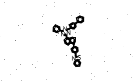 c1ccc(-c2ccc(-c3nc(-c4ccccc4)nc(-c4cccc5c(-c6ccc(-c7nc8ccccc8s7)cc6)cccc45)n3)cc2)cc1